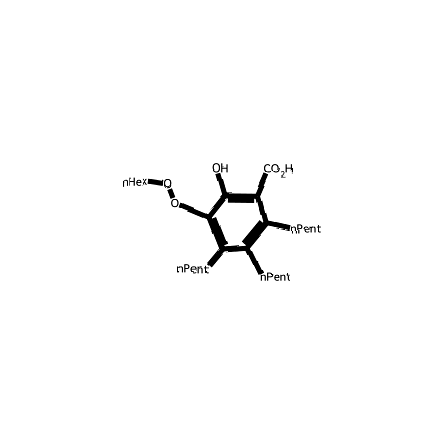 CCCCCCOOc1c(O)c(C(=O)O)c(CCCCC)c(CCCCC)c1CCCCC